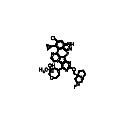 C[C@@]1(O)COCCN(c2nc(OC[C@@]34CCCN3C[C@H](F)C4)nc3c(F)c4c(-c5c(C6CC6)c(Cl)cc6[nH]ncc56)nccn4c23)C1